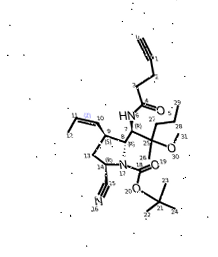 C#CCCC(=O)N[C@H]([C@H]1[C@H](/C=C\C)C[C@H](C#N)N1C(=O)OC(C)(C)C)C(C)(CCC)OC